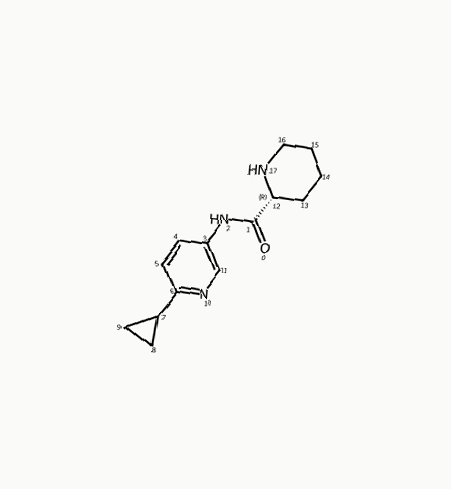 O=C(Nc1ccc(C2CC2)nc1)[C@H]1CCCCN1